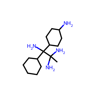 CC(N)(N)C(N)(C1CCCCC1)C1CCC(N)CC1